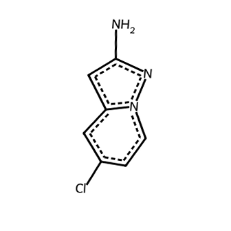 Nc1cc2cc(Cl)ccn2n1